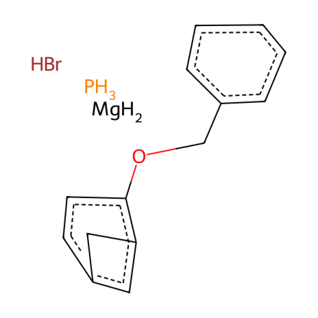 Br.P.[MgH2].c1ccc(COc2ccc3cc2C3)cc1